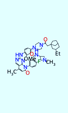 CCC1CC2CCC(CC(=O)N3CCN(c4ccc(Nc5ncc6c(C)cc(=O)n(-c7ccc(F)c(C(=O)NC8CN(C)C8)c7)c6n5)c(OC)c4)CC3)(C1)C2